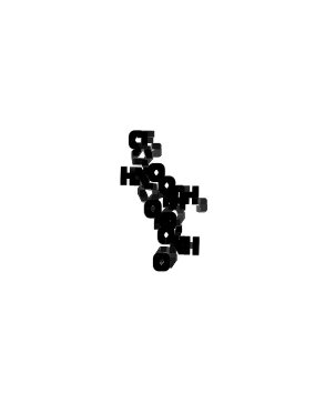 CN1C(=O)c2cc(NC(=O)c3ccc(C(F)(F)F)cc3)ccc2OC[C@@H]2O[C@H](CC(=O)NC3CCOCC3)CC[C@@H]21